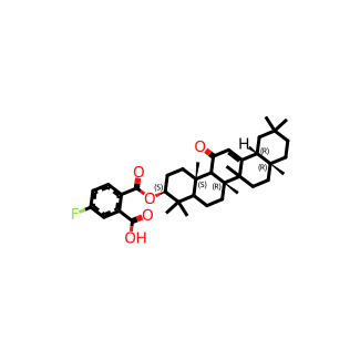 CC1(C)CC[C@]2(C)CCC3(C)C(=CC(=O)C4[C@@]5(C)CC[C@H](OC(=O)c6ccc(F)cc6C(=O)O)C(C)(C)C5CC[C@]43C)[C@@H]2C1